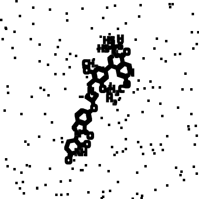 COc1cc2c(-c3cc(OC)c(CN4CC(Oc5ccc6c(c5)C(=O)N(C5CCC(=O)NC5=O)C6)C4)c(OC)c3)cn(C(S)(S)S)c(=O)c2cn1